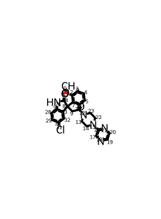 COc1ccccc1C1(CC(=O)N2CCN(c3cnccn3)CC2)C(=O)Nc2ccc(Cl)cc21